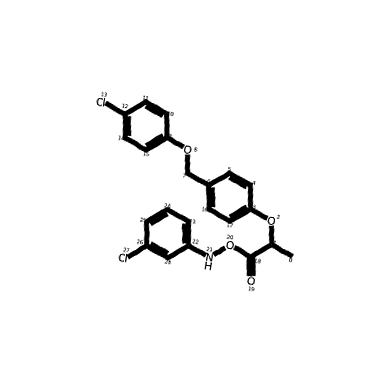 CC(Oc1ccc(COc2ccc(Cl)cc2)cc1)C(=O)ONc1cccc(Cl)c1